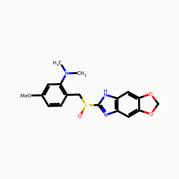 COc1ccc(C[S+]([O-])c2nc3cc4c(cc3[nH]2)OCO4)c(N(C)C)c1